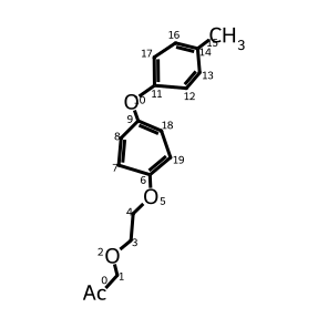 CC(=O)COCCOc1ccc(Oc2ccc(C)cc2)cc1